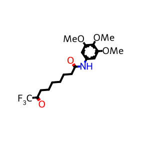 COc1cc(NC(=O)CCCCCCC(=O)C(F)(F)F)cc(OC)c1OC